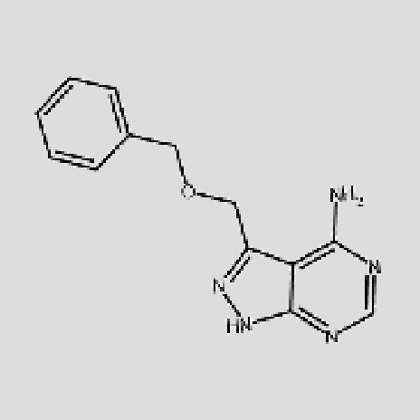 Nc1ncnc2[nH]nc(COCc3ccccc3)c12